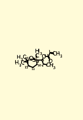 C=CC(=O)OC(CC)[Si]1(C)CCCC(C)(C)O1